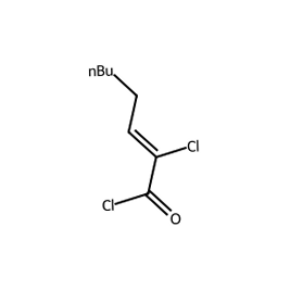 CCCCCC=C(Cl)C(=O)Cl